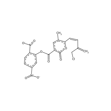 C=C(/C=C\c1oc(=O)c(C(=O)Oc2cc([N+](=O)[O-])ccc2[N+](=O)[O-])cc1C)CCl